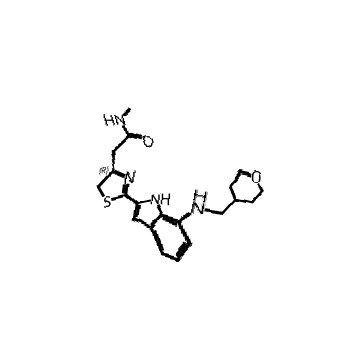 CNC(=O)C[C@@H]1CSC(c2cc3cccc(NCC4CCOCC4)c3[nH]2)=N1